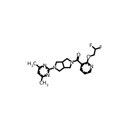 Cc1cc(C)nc(N2CC3CN(C(=O)c4cccnc4OCC(F)F)CC3C2)n1